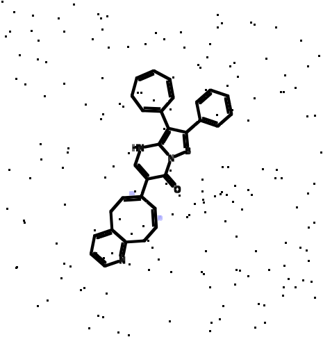 O=c1c(C2=C/Cc3cccnc3C/C=C\2)c[nH]c2c(C3=CCC=CC=C3)c(-c3ccccc3)bn12